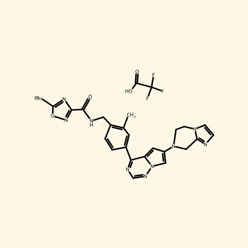 Cc1cc(-c2ncnn3cc(N4CCn5ccnc5C4)cc23)ccc1CNC(=O)c1noc(C(C)(C)C)n1.O=C(O)C(F)(F)F